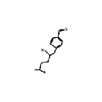 CC(Br)CCC(Br)Cc1ccc(C=O)cc1